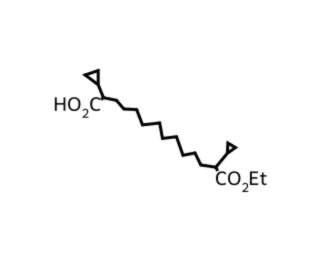 CCOC(=O)C(CCCCCCCCCCC(C(=O)O)C1CC1)C1CC1